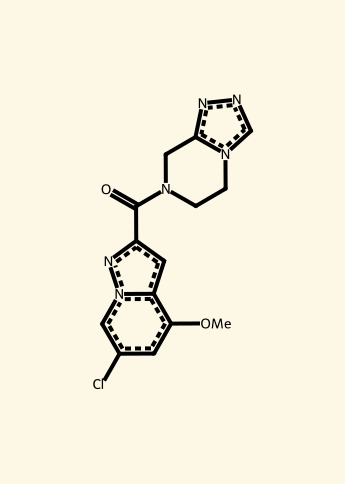 COc1cc(Cl)cn2nc(C(=O)N3CCn4cnnc4C3)cc12